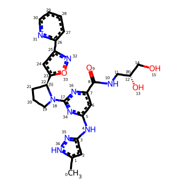 Cc1cc(Nc2cc(C(=O)NC[C@@H](O)CO)nc(N3CCC[C@H]3c3cc(-c4ccccn4)no3)n2)n[nH]1